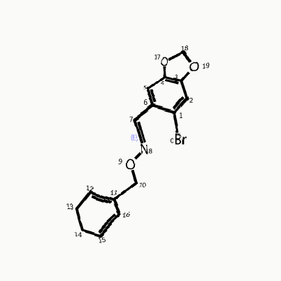 Brc1cc2c(cc1/C=N/OCC1=CCCC=C1)OCO2